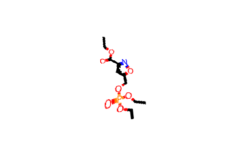 CCOC(=O)c1cc(COP(=O)(OCC)OCC)on1